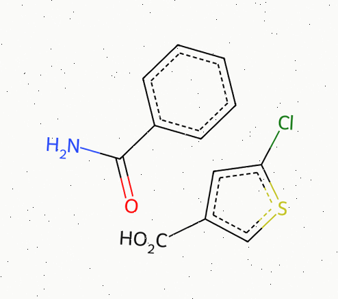 NC(=O)c1ccccc1.O=C(O)c1csc(Cl)c1